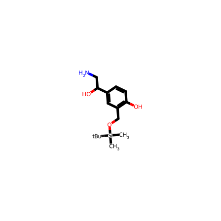 CC(C)(C)[Si](C)(C)OCc1cc(C(O)CN)ccc1O